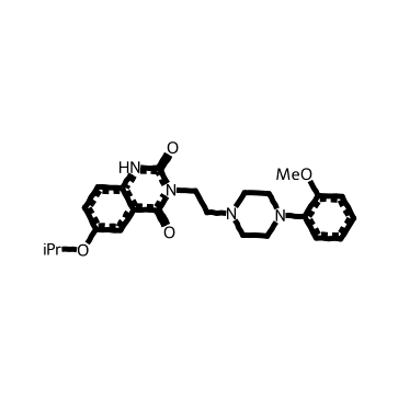 COc1ccccc1N1CCN(CCn2c(=O)[nH]c3ccc(OC(C)C)cc3c2=O)CC1